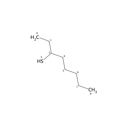 [CH2]CC(S)CCCCC